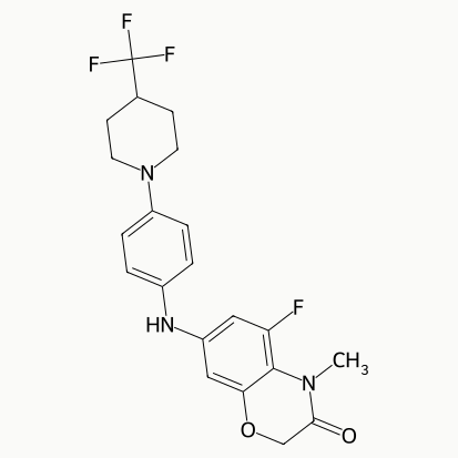 CN1C(=O)COc2cc(Nc3ccc(N4CCC(C(F)(F)F)CC4)cc3)cc(F)c21